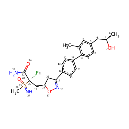 Cc1cc(C[C@@H](C)O)ccc1-c1ccc(C2=NO[C@@H](C[C@](F)(C(N)=O)S(C)(=N)=O)C2)cc1